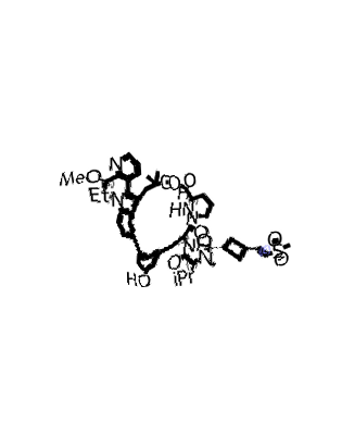 CCn1c(-c2cccnc2[C@H](C)OC)c2c3cc(ccc31)-c1cc(O)cc(c1)C[C@H](NC(=O)[C@H](C(C)C)N(C)C(=O)[C@H]1C[C@H](/C=C/S(C)(=O)=O)C1)C(=O)N1CCC[C@H](N1)C(=O)OCC(C)(C)C2